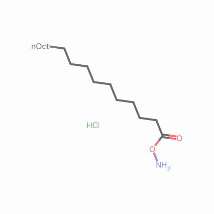 CCCCCCCCCCCCCCCCCC(=O)ON.Cl